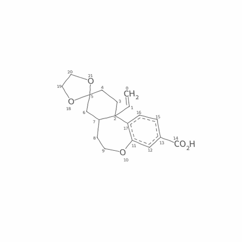 C=CC12CCC3(CC1CCOc1cc(C(=O)O)ccc12)OCCO3